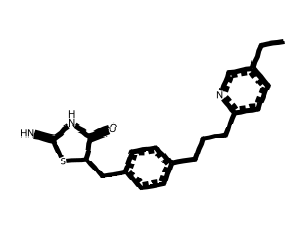 CCc1ccc(CCCc2ccc(CC3SC(=N)NC3=O)cc2)nc1